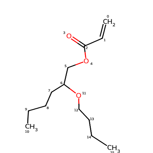 C=CC(=O)OCC(CCCC)OCCCC